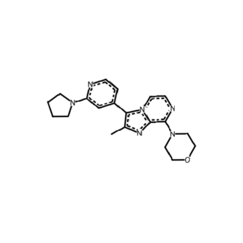 Cc1nc2c(N3CCOCC3)nccn2c1-c1ccnc(N2CCCC2)c1